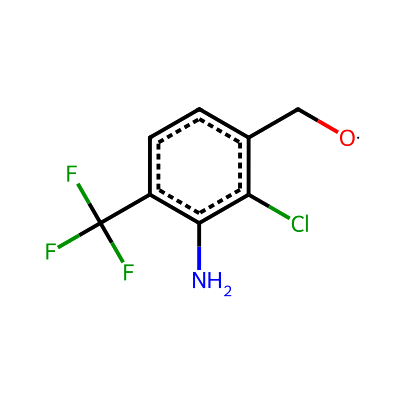 Nc1c(C(F)(F)F)ccc(C[O])c1Cl